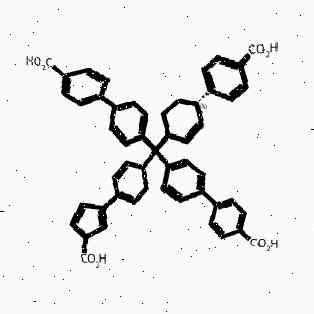 O=C(O)c1ccc(-c2ccc(C(c3ccc(-c4ccc(C(=O)O)cc4)cc3)(C3C=CC(C4=CC(C(=O)O)C=C4)=CC3)C3C=C[C@@H](c4ccc(C(=O)O)cc4)CC3)cc2)cc1